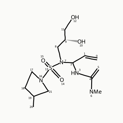 C=CC(NC(=C)NC)N(C[C@@H](O)CO)S(=O)(=O)N1CCC(C)C1